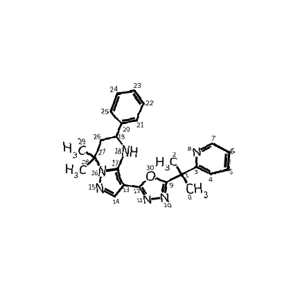 CC(C)(c1ccccn1)c1nnc(-c2cnn3c2NC(c2ccccc2)CC3(C)C)o1